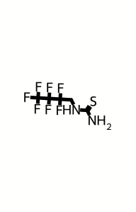 NC(=S)NCC(F)(F)C(F)(F)C(F)(F)F